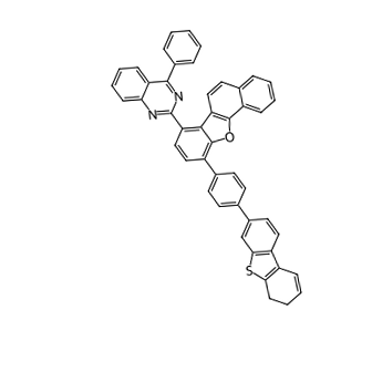 C1=Cc2c(sc3cc(-c4ccc(-c5ccc(-c6nc(-c7ccccc7)c7ccccc7n6)c6c5oc5c7ccccc7ccc56)cc4)ccc23)CC1